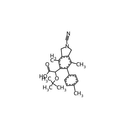 Cc1ccc(-c2c(C)c3c(c(C)c2C(OC(C)(C)C)C(=O)O)CN(C#N)C3)cc1